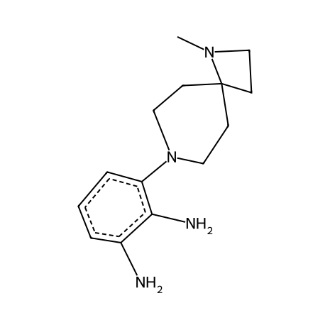 CN1CCC12CCN(c1cccc(N)c1N)CC2